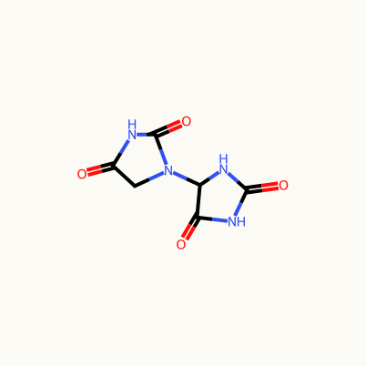 O=C1CN(C2NC(=O)NC2=O)C(=O)N1